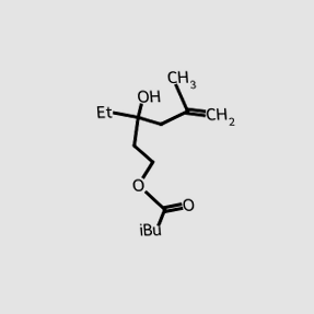 C=C(C)CC(O)(CC)CCOC(=O)C(C)CC